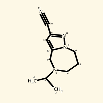 CC(C)N1CCCn2nc(C#N)cc2C1